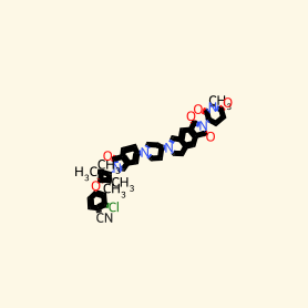 CN1C(=O)CCC(N2C(=O)c3cc4c(cc3C2=O)CN(C2CCN(c3ccc5c(c3)CN([C@H]3C(C)(C)[C@H](Oc6ccc(C#N)c(Cl)c6)C3(C)C)C5=O)CC2)CC4)C1=O